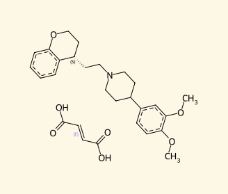 COc1ccc(C2CCN(CC[C@H]3CCOc4ccccc43)CC2)cc1OC.O=C(O)/C=C/C(=O)O